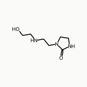 O=C1NCCN1CCNCCO